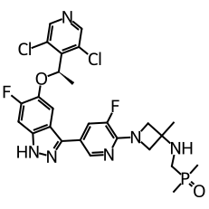 C[C@@H](Oc1cc2c(-c3cnc(N4CC(C)(NCP(C)(C)=O)C4)c(F)c3)n[nH]c2cc1F)c1c(Cl)cncc1Cl